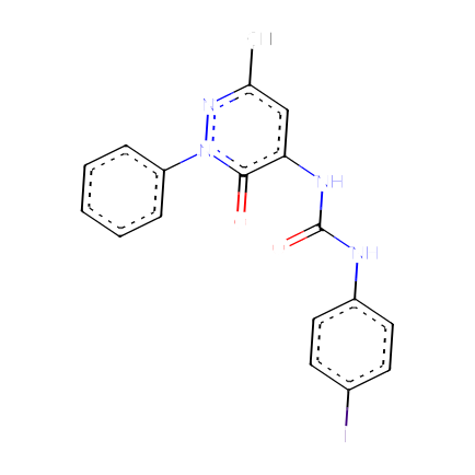 Cc1cc(NC(=O)Nc2ccc(I)cc2)c(=O)n(-c2ccccc2)n1